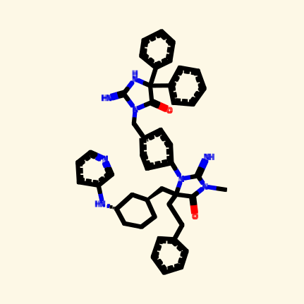 CN1C(=N)N(c2ccc(CN3C(=N)NC(c4ccccc4)(c4ccccc4)C3=O)cc2)C(CCc2ccccc2)(C[C@H]2CCC[C@H](Nc3cccnc3)C2)C1=O